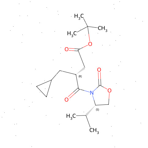 CC(C)[C@H]1COC(=O)N1C(=O)[C@@H](CC(=O)OC(C)(C)C)CC1CC1